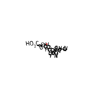 C=C(C)[C@@H]1CC[C@]2(C(=O)N3CCC[C@H]3c3nc(-c4cccnc4)cn3CCN(C)C)CC[C@]3(C)[C@H](CC[C@@H]4[C@@]5(C)CC[C@H](OC(=O)CC(C)(C)C(=O)O)C(C)(C)[C@@H]5CC[C@]43C)[C@@H]12